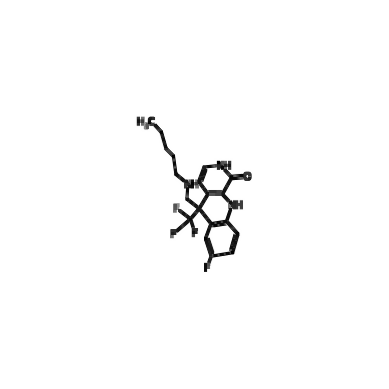 CCCCCNCC1(C(F)(F)F)c2cc(F)ccc2Nc2c1cc[nH]c2=O